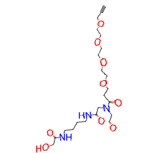 C#CCOCCOCCOCCOCCC(=O)N(CC=O)CC(=O)NCCCCNC(=O)CO